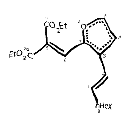 CCCCCCC=Cc1ccoc1C=C(C(=O)OCC)C(=O)OCC